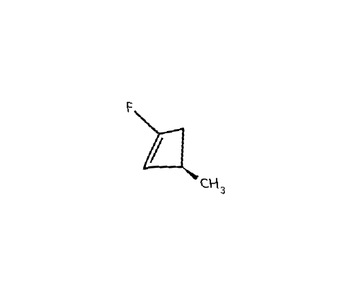 C[C@H]1C=C(F)C1